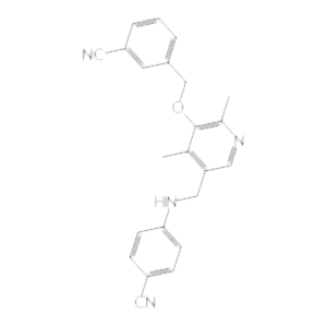 Cc1ncc(CNc2ccc(C#N)cc2)c(C)c1OCc1cccc(C#N)c1